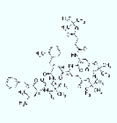 Cc1ccccc1C[C@H](NC(=O)[C@H](CCC(=O)OC(C)(C)C)NC(=O)[C@H](CC(=O)OC(C)(C)C)NC(=O)CCC(=O)OC(C)(C)C)C(=O)N[C@H](C(=O)N[C@@H](CC(C)C)C(=O)OCc1ccccc1)C(C)(C)C